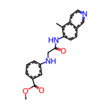 COC(=O)c1cccc(NCC(=O)Nc2ccc3cnccc3c2C)c1